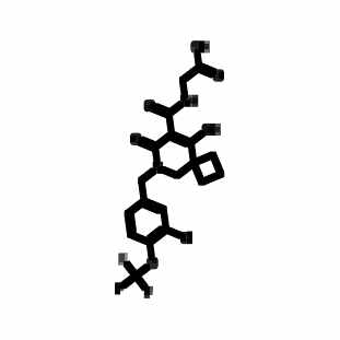 O=C(O)CNC(=O)C1=C(O)C2(CCC2)CN(Cc2ccc(OC(F)(F)F)c(Cl)c2)C1=O